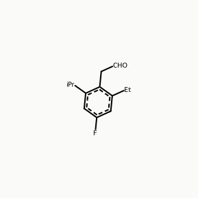 CCc1cc(F)cc(C(C)C)c1CC=O